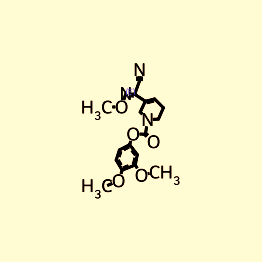 CO/N=C(/C#N)C1=CCCN(C(=O)Oc2ccc(OC)c(OC)c2)C1